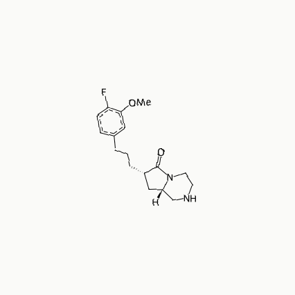 COc1cc(CCC[C@H]2C[C@H]3CNCCN3C2=O)ccc1F